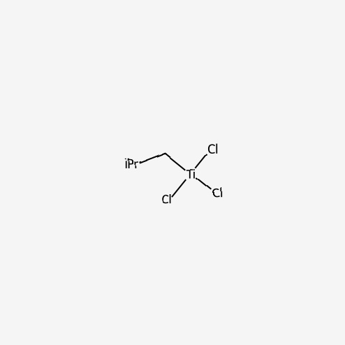 CC(C)[CH2][Ti]([Cl])([Cl])[Cl]